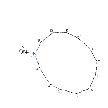 O=NN1CCCCCCCCCCCC1